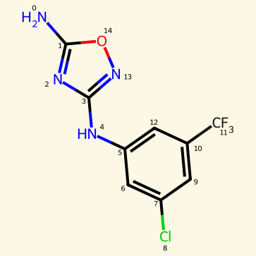 Nc1nc(Nc2cc(Cl)cc(C(F)(F)F)c2)no1